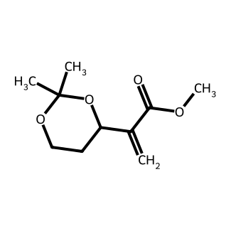 C=C(C(=O)OC)C1CCOC(C)(C)O1